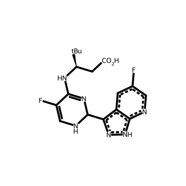 CC(C)(C)[C@@H](CC(=O)O)NC1=NC(c2n[nH]c3ncc(F)cc23)NC=C1F